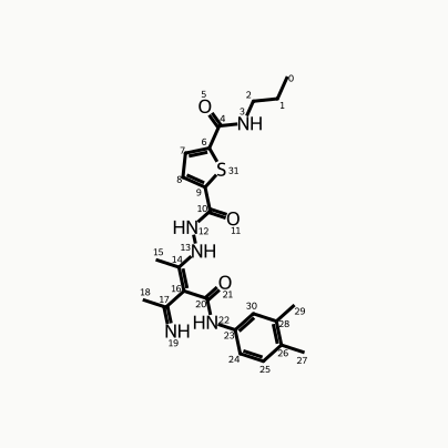 CCCNC(=O)c1ccc(C(=O)NN/C(C)=C(/C(C)=N)C(=O)Nc2ccc(C)c(C)c2)s1